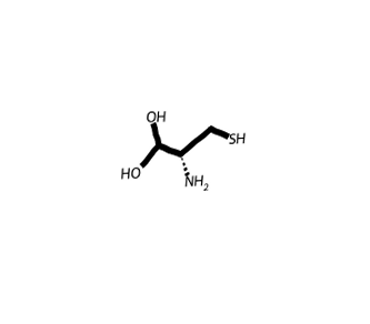 N[C@@H](CS)C(O)O